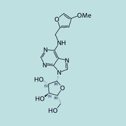 COc1coc(CNc2ncnc3c2ncn3[C@@H]2O[C@H](CO)[C@@H](O)[C@@H]2O)c1